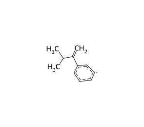 C=C(c1c[c]ccc1)C(C)C